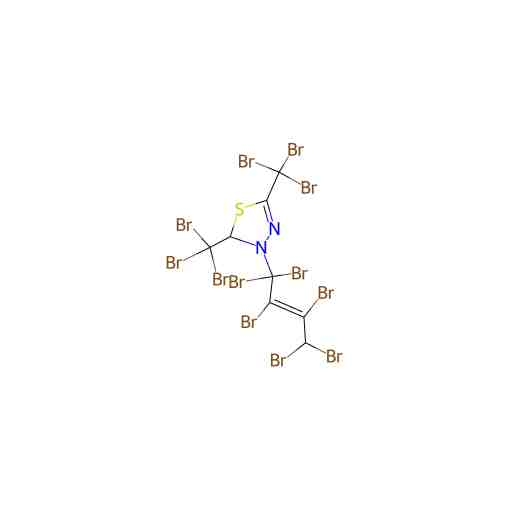 BrC(=C(Br)C(Br)(Br)N1N=C(C(Br)(Br)Br)SC1C(Br)(Br)Br)C(Br)Br